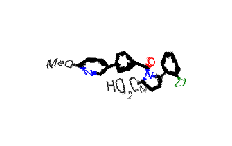 COc1ccc(-c2ccc(C(=O)N3[C@@H](c4ccccc4Cl)CC[C@H]3C(=O)O)cc2)cn1